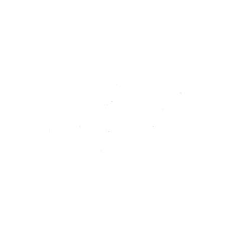 C/C=C/C1=[N+](C)c2ccc(S(=O)(=O)O)cc2C1(C)C